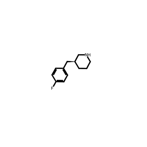 Fc1ccc(C[C@@H]2CCCNC2)cc1